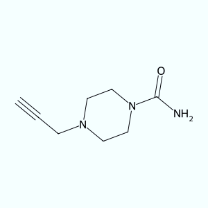 C#CCN1CCN(C(N)=O)CC1